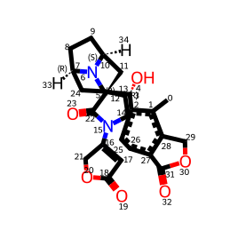 Cc1c([C@@H](O)CN2[C@@H]3CC[C@H]2C[C@]2(CCN(C4=CC(=O)OC4)C2=O)C3)ccc2c1COC2=O